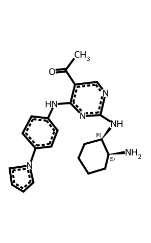 CC(=O)c1cnc(N[C@@H]2CCCC[C@@H]2N)nc1Nc1ccc(-n2cccc2)cc1